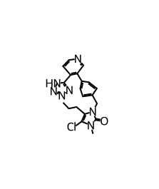 CCCc1c(Cl)n(C)c(=O)n1Cc1ccc(-c2cnccc2-c2nnn[nH]2)cc1